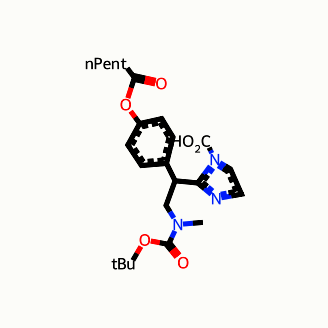 CCCCCC(=O)Oc1ccc(C(CN(C)C(=O)OC(C)(C)C)c2nccn2C(=O)O)cc1